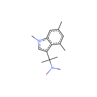 Cc1cc(C)c2c(C(C)(C)N(C)I)cn(C)c2c1